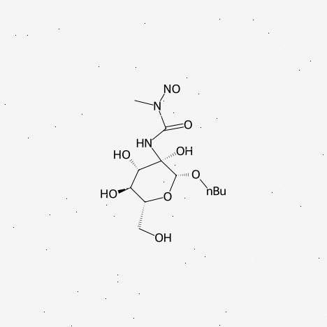 CCCCO[C@@H]1O[C@H](CO)[C@@H](O)[C@H](O)[C@@]1(O)NC(=O)N(C)N=O